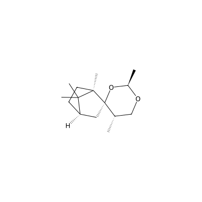 C[C@H]1OC[C@H](C)[C@]2(C[C@H]3CC[C@]2(C)C3(C)C)O1